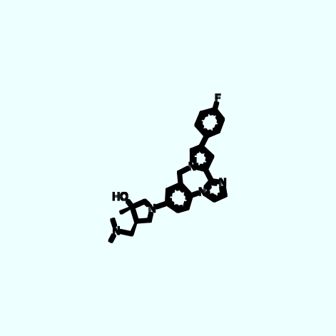 CN(C)C[C@@H]1CN(c2ccc3c(c2)Cn2cc(-c4ccc(F)cc4)cc2-c2nccn2-3)C[C@@]1(C)O